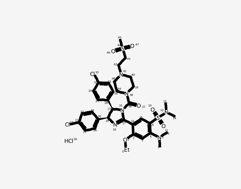 CCOc1cc(N(C)C)c(S(=O)(=O)N(C)C)cc1C1=N[C@@H](c2ccc(Cl)cc2)[C@@H](c2ccc(Cl)cc2)N1C(=O)N1CCN(CCS(C)(=O)=O)CC1.Cl